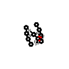 N#Cc1cc(-n2c3cc(-c4ccccc4)ccc3c3ccc(-c4ccccc4)cc32)c(-c2cc(C(F)(F)F)cc(C(F)(F)F)c2)cc1-n1c2cc(-c3ccccc3)ccc2c2ccc(-c3ccccc3)cc21